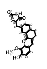 COc1cc(C=C2CCc3ccc(CC4SC(=O)NC4=O)cc3C2=O)ccc1O